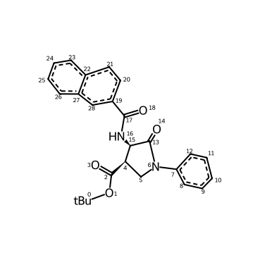 CC(C)(C)OC(=O)[C@@H]1CN(c2ccccc2)C(=O)[C@@H]1NC(=O)c1ccc2ccccc2c1